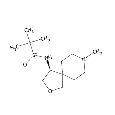 CN1CCC2(CC1)COC[C@H]2N[S@+]([O-])C(C)(C)C